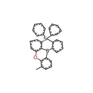 Cc1cccc2c1Oc1cccc3c1B2c1ccccc1[Si]3(c1ccccc1)c1ccccc1